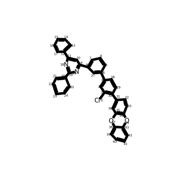 Clc1cc(-c2cccc(-c3cc(-c4ccccc4)nc(-c4ccccc4)n3)c2)ccc1-c1ccc2c(c1)Oc1ccccc1O2